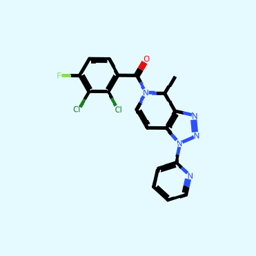 CC1c2nnn(-c3ccccn3)c2C=CN1C(=O)c1ccc(F)c(Cl)c1Cl